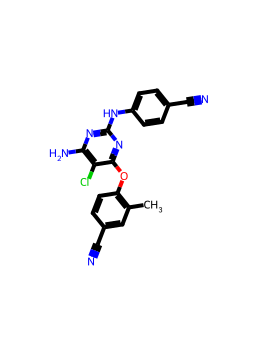 Cc1cc(C#N)ccc1Oc1nc(Nc2ccc(C#N)cc2)nc(N)c1Cl